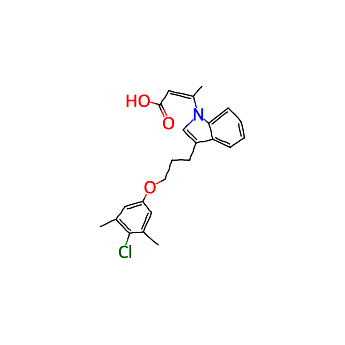 C/C(=C/C(=O)O)n1cc(CCCOc2cc(C)c(Cl)c(C)c2)c2ccccc21